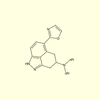 CCCN(CCC)C1Cc2n[nH]c3ccc(-c4ncco4)c(c23)C1